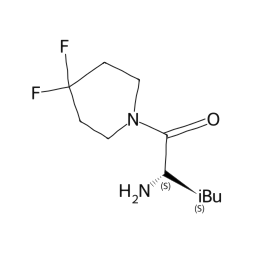 CC[C@H](C)[C@H](N)C(=O)N1CCC(F)(F)CC1